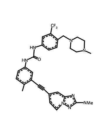 CNc1nc2cc(C#Cc3cc(NC(=O)Nc4ccc(CN5CCN(C)CC5)c(C(F)(F)F)c4)ccc3C)ccn2n1